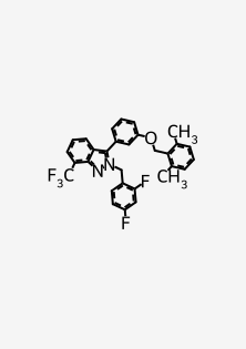 Cc1cccc(C)c1COc1cccc(-c2c3cccc(C(F)(F)F)c3nn2Cc2ccc(F)cc2F)c1